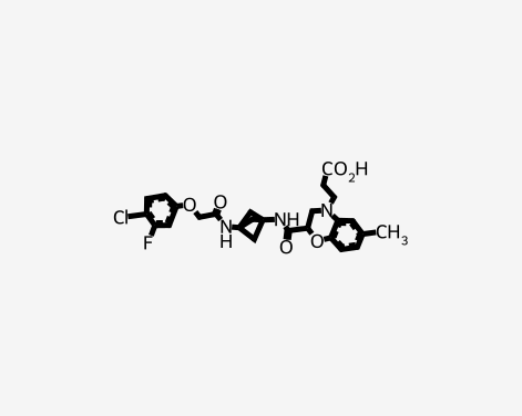 Cc1ccc2c(c1)N(CCC(=O)O)CC(C(=O)NC13CC(NC(=O)COc4ccc(Cl)c(F)c4)(C1)C3)O2